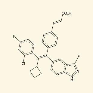 O=C(O)/C=C/c1ccc(/C(=C(\c2ccc(F)cc2Cl)C2CCC2)c2ccc3[nH]nc(F)c3c2)cc1